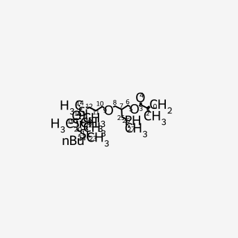 C=C(C)C(=O)OCC(COCCC[Si](C)(C)O[Si](C)(C)C[Si](C)(C)CCCC)CPC